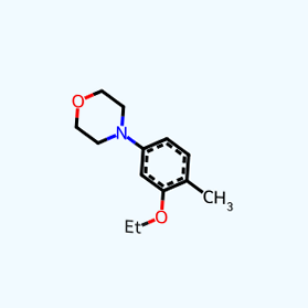 CCOc1cc(N2CCOCC2)ccc1C